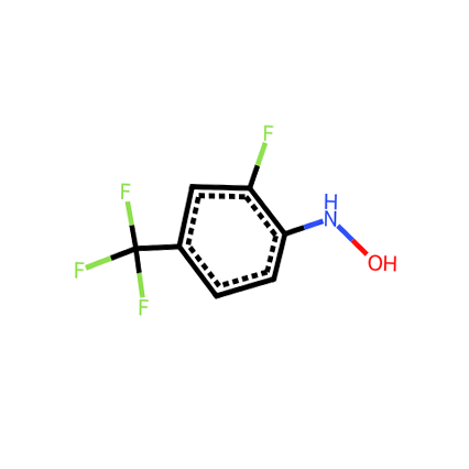 ONc1ccc(C(F)(F)F)cc1F